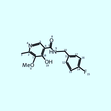 COc1c(C)ncc(C(=O)NCc2ccc(F)cc2)c1O